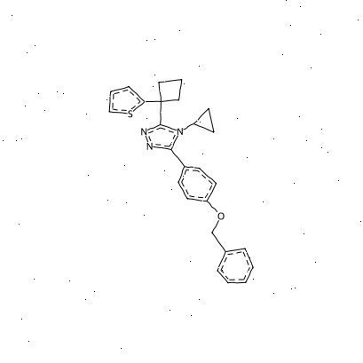 c1ccc(COc2ccc(-c3nnc(C4(c5cccs5)CCC4)n3C3CC3)cc2)cc1